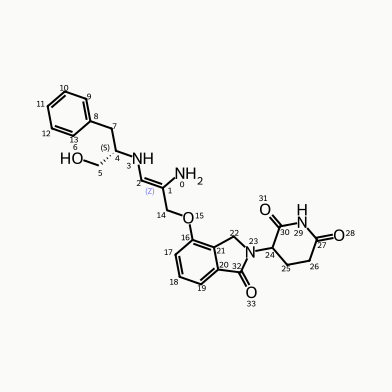 N/C(=C\N[C@H](CO)Cc1ccccc1)COc1cccc2c1CN(C1CCC(=O)NC1=O)C2=O